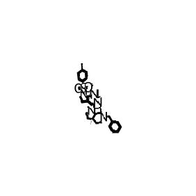 Cc1ccc(S(=O)(=O)n2ccc3c(N4CC[C@]5(C)CCN(Cc6ccccc6)C[C@H]45)ncnc32)cc1